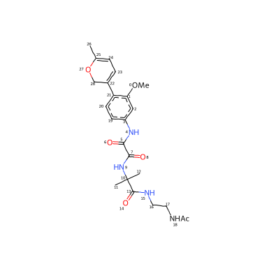 COc1cc(NC(=O)C(=O)NC(C)(C)C(=O)NCCNC(C)=O)ccc1C1=CC=C(C)OC1